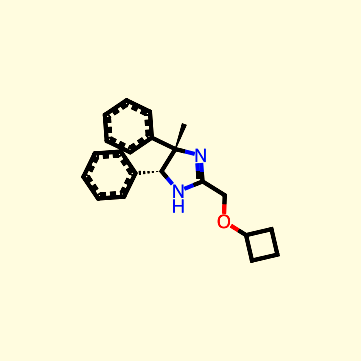 C[C@@]1(c2ccccc2)N=C(COC2CCC2)N[C@@H]1c1ccccc1